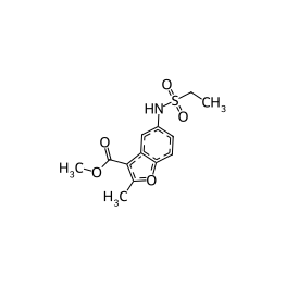 CCS(=O)(=O)Nc1ccc2oc(C)c(C(=O)OC)c2c1